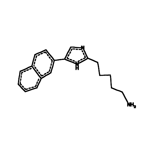 NCCCCCc1ncc(-c2ccc3ccccc3c2)[nH]1